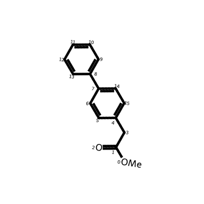 COC(=O)Cc1ccc(-c2ccccc2)cc1